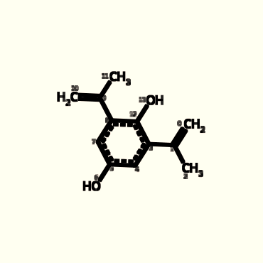 C=C(C)c1cc(O)cc(C(=C)C)c1O